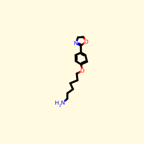 NCCCCCCOc1ccc(C2=NCCO2)cc1